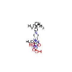 Cc1nc(CC2CCCN(c3ccc(C(C)(C)C)cc3)CC2)nc(C(=O)NCC(=O)O)c1O